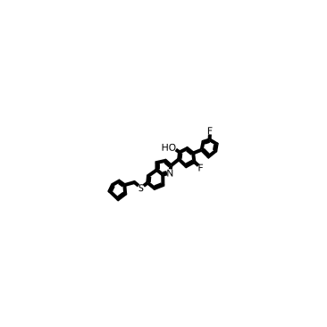 Oc1cc(-c2cccc(F)c2)c(F)cc1-c1ccc2cc(SCc3ccccc3)ccc2n1